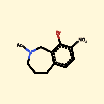 CC(=O)N1CCCc2ccc([N+](=O)[O-])c(Br)c2C1